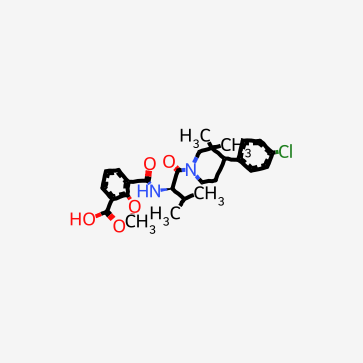 COc1c(C(=O)O)cccc1C(=O)N[C@@H](C(=O)N1CCC(c2ccc(Cl)cc2)C(C)(C)C1)C(C)C